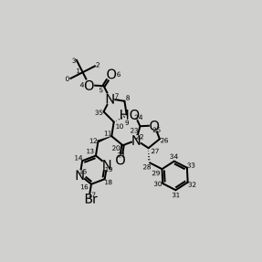 CC(C)(C)OC(=O)N1CC[C@H]([C@H](Cc2cnc(Br)cn2)C(=O)N2C(O)OC[C@@H]2Cc2ccccc2)C1